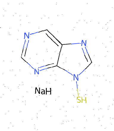 Sn1cnc2cncnc21.[NaH]